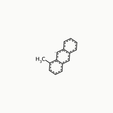 Cc1cccc2cc3ccccc3[c]c12